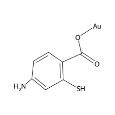 Nc1ccc(C(=O)[O][Au])c(S)c1